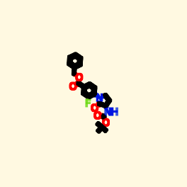 CC(C)(C)OC(=O)NC1CCN(c2ccc(C(=O)OCc3ccccc3)cc2F)C1=O